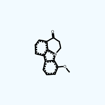 COc1cccc2c3cccc4c3n(c12)CCC4=O